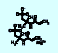 C=CC(=O)NC(C)(C)CS(=O)(=O)[O-].C=CC(=O)NC(C)(C)CS(=O)(=O)[O-].[Mg+2]